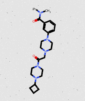 CC(C)N(C)C(=O)c1cccc(N2CCN(CC(=O)N3CCN(C4CCC4)CC3)CC2)c1